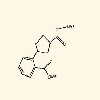 COC(=O)c1ccccc1C1CCN(C(=O)OC(C)(C)C)C1